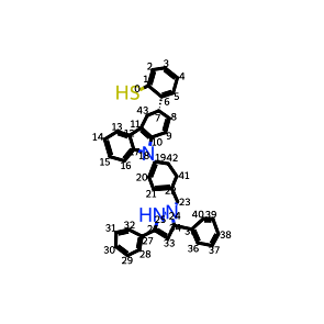 Sc1ccccc1[C@@H]1C=Cc2c(c3ccccc3n2C2=CC=C(CN3NC(c4ccccc4)=CC3c3ccccc3)CC2)C1